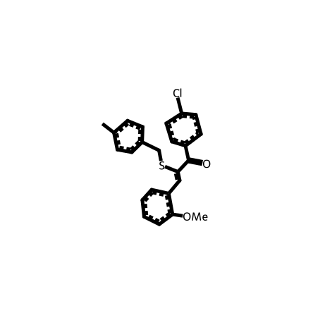 COc1ccccc1C=C(SCc1ccc(C)cc1)C(=O)c1ccc(Cl)cc1